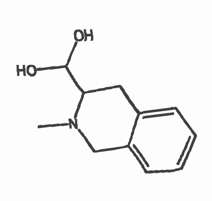 CN1Cc2ccccc2CC1C(O)O